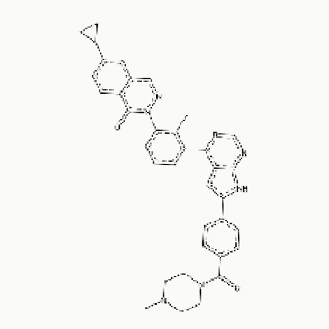 Cc1c(-c2ncnc3[nH]c(-c4ccc(C(=O)N5CCN(C)CC5)cc4)cc23)cccc1-n1ncc2cc(C3CC3)ccc2c1=O